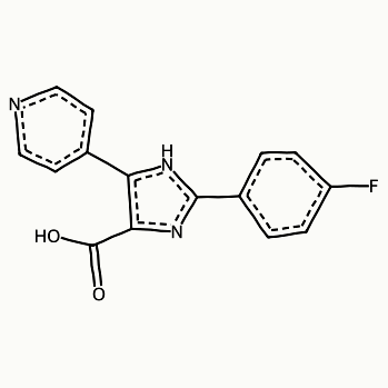 O=C(O)c1nc(-c2ccc(F)cc2)[nH]c1-c1ccncc1